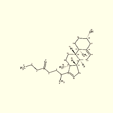 CCCC(=O)CCC(C)C1=CC[C@H]2[C@@H]3CC=C4C[C@@H](O)CC[C@]4(C)[C@H]3CC[C@]12C